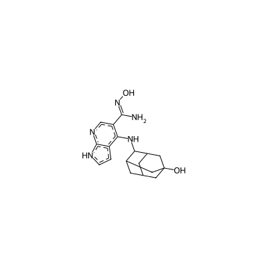 N/C(=N\O)c1cnc2[nH]ccc2c1NC1C2CC3CC1CC(O)(C3)C2